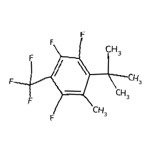 Cc1c(F)c(C(F)(F)F)c(F)c(F)c1C(C)(C)C